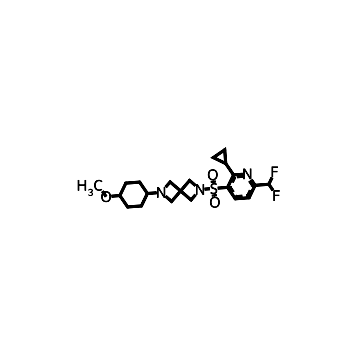 COC1CCC(N2CC3(C2)CN(S(=O)(=O)c2ccc(C(F)F)nc2C2CC2)C3)CC1